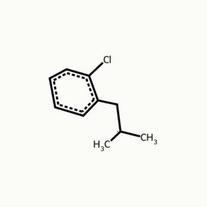 C[C](C)Cc1ccccc1Cl